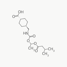 CC(C)CC(=O)OC(C)OC(=O)NC[C@H]1CC[C@H](C(=O)O)CC1